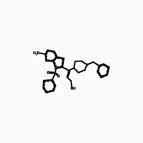 Cc1ccc2cc(C(=CCO)C3CCN(Cc4ccccc4)CC3)n(S(=O)(=O)c3ccccc3)c2c1